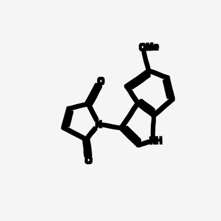 COc1ccc2[nH]cc(N3C(=O)C=CC3=O)c2c1